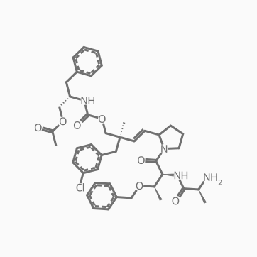 CC(=O)OC[C@H](Cc1ccccc1)NC(=O)OC[C@@](C)(/C=C/C1CCCN1C(=O)[C@@H](NC(=O)[C@H](C)N)[C@@H](C)OCc1ccccc1)Cc1cccc(Cl)c1